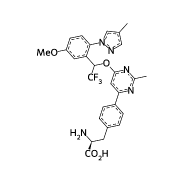 COc1ccc(-n2cc(C)cn2)c(C(Oc2cc(-c3ccc(C[C@H](N)C(=O)O)cc3)nc(C)n2)C(F)(F)F)c1